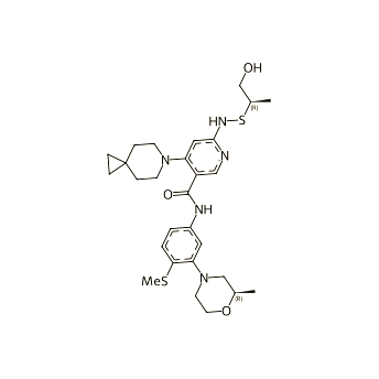 CSc1ccc(NC(=O)c2cnc(NS[C@H](C)CO)cc2N2CCC3(CC2)CC3)cc1N1CCO[C@H](C)C1